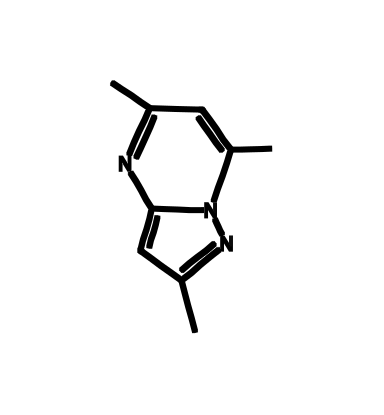 Cc1cc(C)n2nc(C)cc2n1